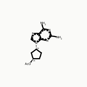 CC(=O)O[C@@H]1CC[C@@H](n2cnc3c(N)nc(N)nc32)C1